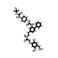 COc1cc(OCC(=O)N(C)CCc2ccc(-c3ccccc3)c(NC(=O)O[C@H]3CC[C@H](NC(=O)OC(C)(C)C)CC3)c2)c(Cl)cc1CO